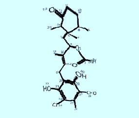 CCCC(=O)OC(C[C@@]1(C)[C@H](C)CCC(=O)[C@@H]1C)/C(C)=C/Cc1c(O)c(Cl)c(C)c(C=O)c1O